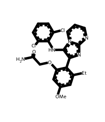 CCc1cc(OC)cc(OCC(N)=O)c1-c1nc2ncccn2c1Nc1c(Cl)cccc1Cl